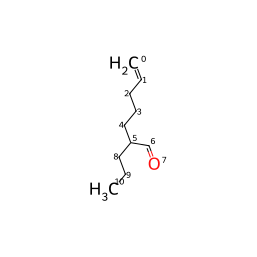 C=CCCCC(C=O)CCC